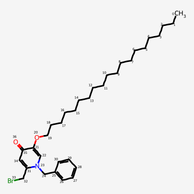 CCCCCCCCCCCCCCCCCCCCOc1cn(Cc2ccccc2)c(CBr)cc1=O